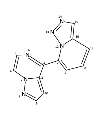 c1cc(-c2nccn3nccc23)n2nncc2c1